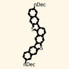 CCCCCCCCCCc1ccc2cc3c(cc2c1)sc1cc2ccc4c5cc6cc(CCCCCCCCCC)ccc6cc5sc4c2cc13